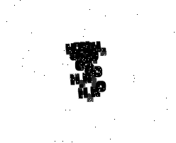 CC1(C)[C@H](C(=O)O)N2C(=O)[C@H](COC(=O)[C@@H](N)CCC(N)=O)[C@H]2S1(=O)=O